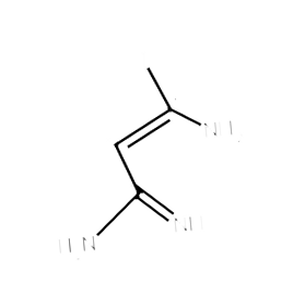 N=C(N)/C=C(\N)I